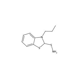 CCCN1c2ccccc2SC1SN